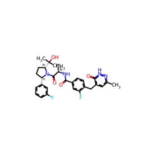 Cc1cc(Cc2ccc(C(=O)N[C@H](C)C(=O)N3[C@H](c4cccc(F)c4)CC[C@@H]3C(C)(C)O)cc2F)c(=O)[nH]n1